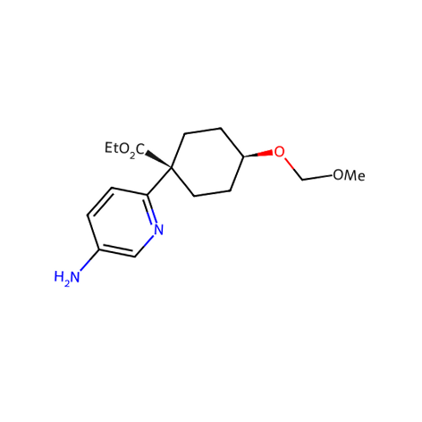 CCOC(=O)[C@]1(c2ccc(N)cn2)CC[C@H](OCOC)CC1